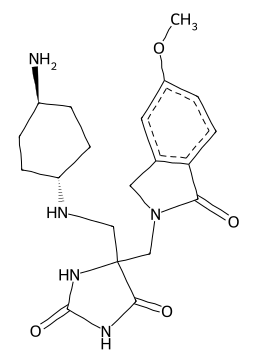 COc1ccc2c(c1)CN(CC1(CN[C@H]3CC[C@H](N)CC3)NC(=O)NC1=O)C2=O